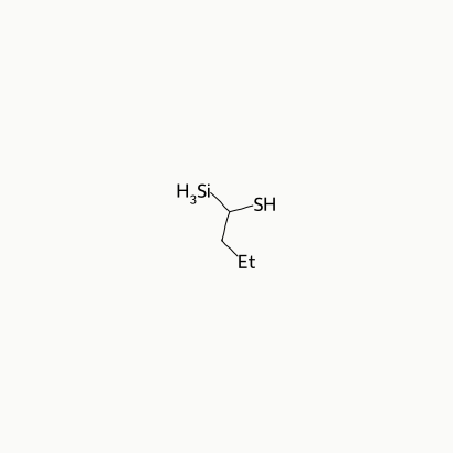 CCCC([SiH3])S